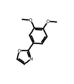 COc1ccc(-c2n[c]co2)cc1OC